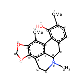 COc1ccc2c(c1O)-c1c(OC)c3c(c4c1C(C2)N(C)CC4)OCO3